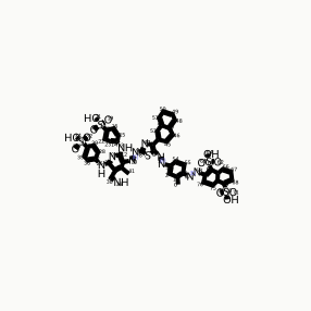 Cc1cc(/N=N/c2sc(/N=N/c3c(Nc4ccc(S(=O)(=O)O)cc4)nc(Nc4ccc(S(=O)(=O)O)cc4)c(C=N)c3C)nc2-c2ccc3ccccc3c2)ccc1/N=N/C1=C(S(=O)(=O)O)C2C=CC=C(S(=O)(=O)O)C2C=C1